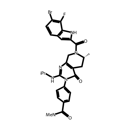 CNC(=O)c1ccc(-n2c(NC(C)C)nc3c(c2=O)C[C@@H](C)N(C(=O)c2cc4ccc(Br)c(F)c4[nH]2)C3)cc1